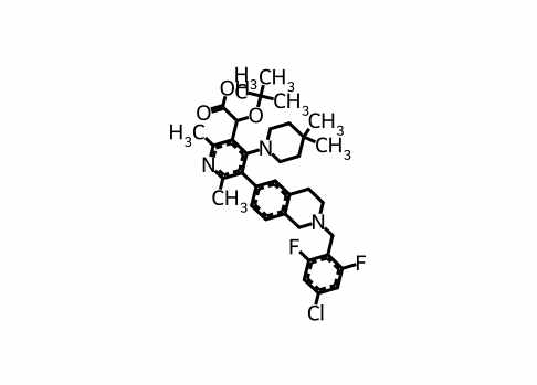 Cc1nc(C)c(C(OC(C)(C)C)C(=O)O)c(N2CCC(C)(C)CC2)c1-c1ccc2c(c1)CCN(Cc1c(F)cc(Cl)cc1F)C2